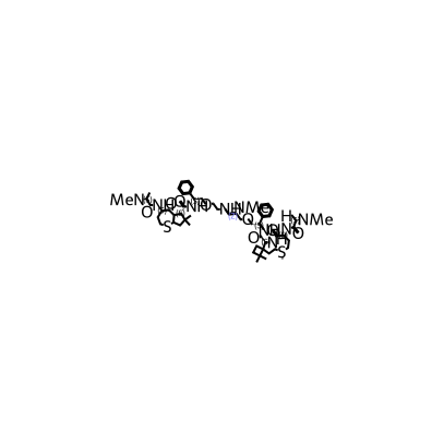 CN/C(=C\NCCOC[C@@H](NC(=O)[C@H]1C2C(=O)[C@@H](NC(=O)[C@H](C)NC)CCSC2CC1(C)C)c1ccccc1)COC[C@@H](NC(=O)[C@H]1N2C(=O)[C@@H](NC(=O)[C@H](C)NC)CC[SH](C)C2CC12CCC2(C)C)c1ccccc1